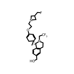 CC1([C@H]2c3ccc(CO)cc3CCN2CC(F)(F)F)C=CC(OCCN2CC(CF)C2)=CC1